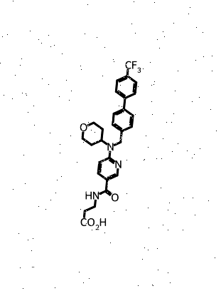 O=C(O)CCNC(=O)c1ccc(N(Cc2ccc(-c3ccc(C(F)(F)F)cc3)cc2)C2CCOCC2)nc1